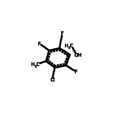 CO.Cc1c(F)c(F)cc(F)c1Cl